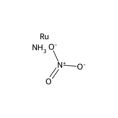 N.O=[N+]([O-])[O-].[Ru]